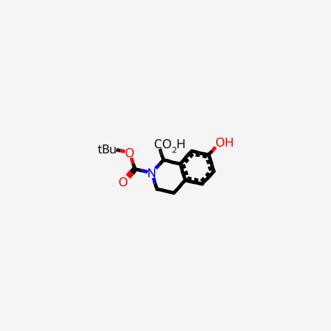 CC(C)(C)OC(=O)N1CCc2ccc(O)cc2C1C(=O)O